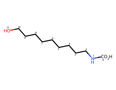 O=C(O)NCCCCCCCCCO